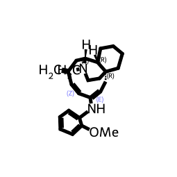 C=C1/C=C\C(Nc2ccccc2OC)=C/C[C@@]23CCCC[C@H]2[C@@H](C1)N(C)CC3